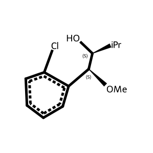 CO[C@@H](c1ccccc1Cl)[C@@H](O)C(C)C